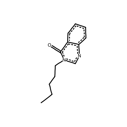 CCCCCn1cnc2ccccc2c1=O